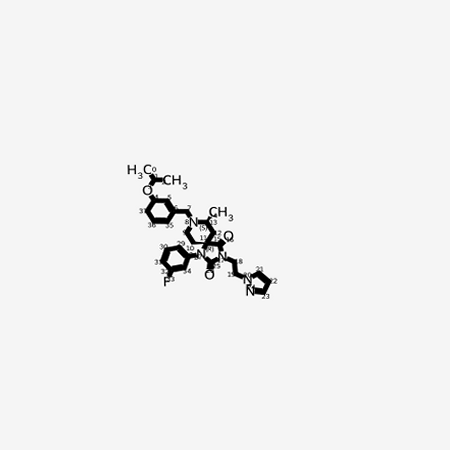 CC(C)OC1C=C(CN2CC[C@@]3(C[C@@H]2C)C(=O)N(CCn2cccn2)C(=O)N3c2cccc(F)c2)C=CC1